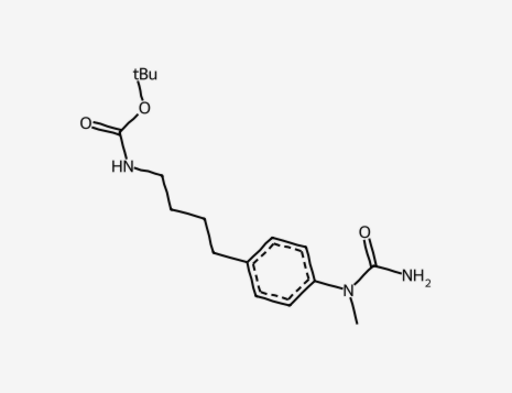 CN(C(N)=O)c1ccc(CCCCNC(=O)OC(C)(C)C)cc1